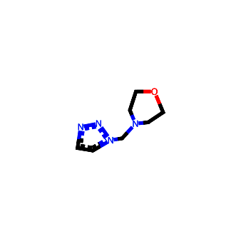 c1cn(CN2CCOCC2)nn1